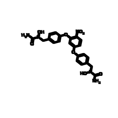 NC(=O)N(O)Cc1ccc(Oc2ccc([N+](=O)[O-])c(Oc3ccc(CN(O)C(N)=O)cc3)c2)cc1